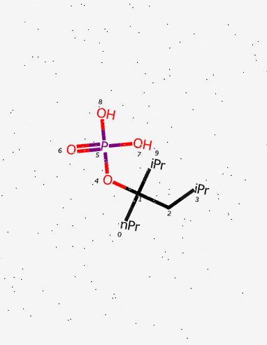 CCCC(CC(C)C)(OP(=O)(O)O)C(C)C